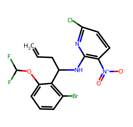 C=CCC(Nc1nc(Cl)ccc1[N+](=O)[O-])c1c(Br)cccc1OC(F)F